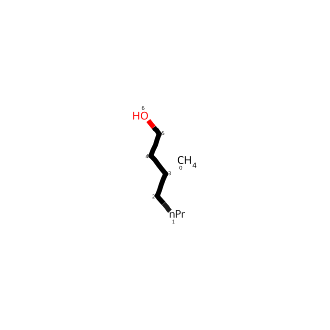 C.CCCCCCCO